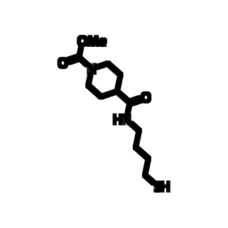 COC(=O)N1CCC(C(=O)NCCCCS)CC1